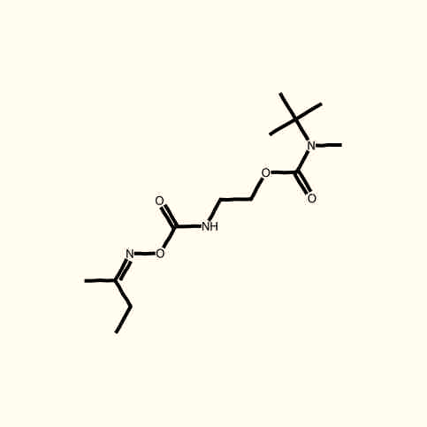 CC/C(C)=N\OC(=O)NCCOC(=O)N(C)C(C)(C)C